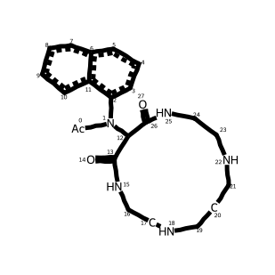 CC(=O)N(c1cccc2ccccc12)C1C(=O)NCCNCCCNCCNC1=O